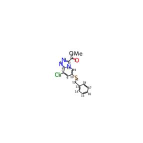 COC(=O)c1nnc2c(Cl)cc(SCc3ccccc3)cn12